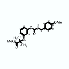 COC(=O)C(C)(C)Sc1cccc(OC(=O)NCc2ccc(OC)cc2)c1